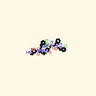 CC(C)(CC(NC(=O)c1cc2ccc(Cl)c(Cl)c2[nH]1)C(=O)NC(C#N)CC1CCNC1=O)CN1CC[C@@H](C[C@@H](C#N)NC(=O)C2CC3(CCCCC3)CN2C(=O)c2cc3cccc(Cl)c3[nH]2)C1=O